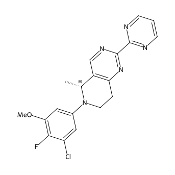 COc1cc(N2CCc3nc(-c4ncccn4)ncc3[C@H]2C)cc(Cl)c1F